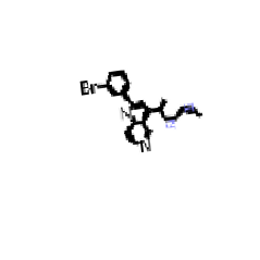 C=C(/C=C\C=C/C)c1cc(-c2cccc(Br)c2)nc2ccncc12